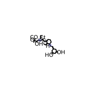 CCOC(=O)OC(C)(C)[C@H](O)/C=C/[C@](C)(F)[C@H]1CC[C@H]2/C(=C/C=C3C[C@@H](O)C[C@H](O)C3)CCC[C@@]21C